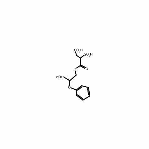 CCCCCCCCC(COC(=O)C(CC(=O)O)S(=O)(=O)O)Oc1ccccc1